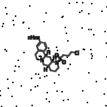 CCCCCCc1ccc2c(c1)CCN1C[C@H]3CCCN(S(=O)(=O)CCCCl)[C@H]3C[C@@H]21